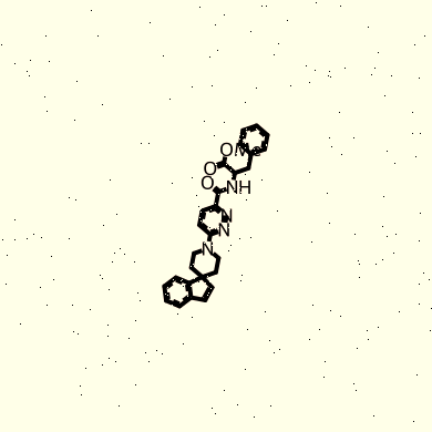 COC(=O)C(Cc1ccccc1)NC(=O)c1ccc(N2CCC3(C=Cc4ccccc43)CC2)nn1